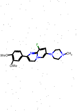 COc1ccc(C2=CCN3C=C(N4CCN(C)CC4)C=C(F)C3=N2)cc1OC